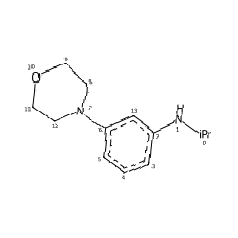 CC(C)Nc1cccc(N2CCOCC2)c1